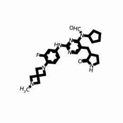 CN1CC2(C1)CN(c1ccc(Nc3ncc(CC4CCNC4=O)c(N(C=O)C4CCCC4)n3)cc1F)C2